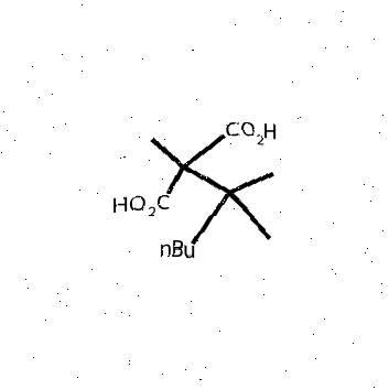 CCCCC(C)(C)C(C)(C(=O)O)C(=O)O